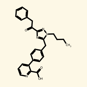 CCCCn1nc(C(=O)Cc2ccccc2)nc1Cc1ccc(-c2cccnc2C(=O)O)cc1